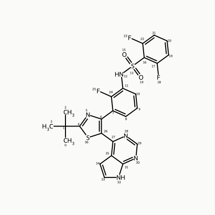 CC(C)(C)c1nc(-c2cccc(NS(=O)(=O)c3c(F)cccc3F)c2F)c(-c2ncnc3[nH]ccc23)s1